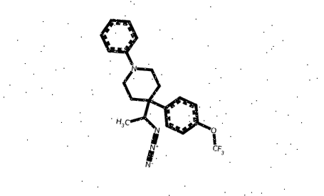 CC(N=[N+]=[N-])C1(c2ccc(OC(F)(F)F)cc2)CCN(c2ccccc2)CC1